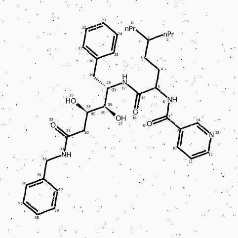 CCCC(CCC)CCC(NC(=O)c1cccnc1)C(=O)N[C@@H](Cc1ccccc1)[C@@H](O)[C@H](O)CC(=O)NCc1ccccc1